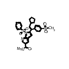 COC(=O)c1cnc2c(c1)cc(/C(=C/C1CCCC1)c1ccc(S(C)(=O)=O)cc1)n2S(=O)(=O)c1ccccc1